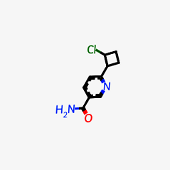 NC(=O)c1ccc(C2CCC2Cl)nc1